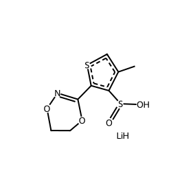 Cc1csc(C2=NOCCO2)c1S(=O)O.[LiH]